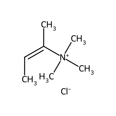 CC=C(C)[N+](C)(C)C.[Cl-]